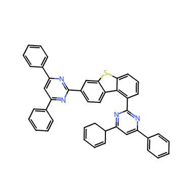 C1=CCC(c2cc(-c3ccccc3)nc(-c3cccc4sc5cc(-c6nc(-c7ccccc7)cc(-c7ccccc7)n6)ccc5c34)n2)C=C1